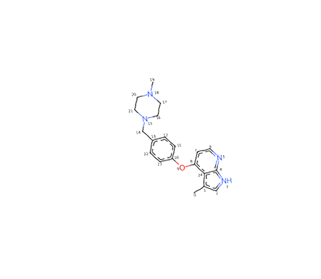 Cc1c[nH]c2nccc(Oc3ccc(CN4CCN(C)CC4)cc3)c12